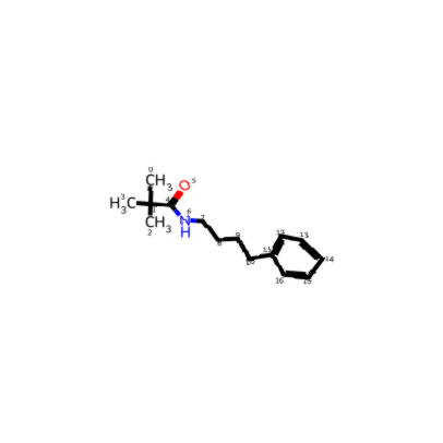 CC(C)(C)C(=O)NCCCCc1ccccc1